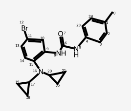 Cc1ccc(NC(=O)Nc2cc(Br)ccc2N(C2CC2)C2CC2)cc1